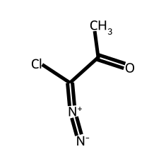 CC(=O)C(Cl)=[N+]=[N-]